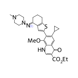 CCOC(=O)c1c[nH]c2c(OC)c(-c3cc4c(s3)CCC/C4=N\N3CCN(C)CC3)c(C3CC3)cc2c1=O